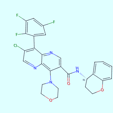 O=C(N[C@H]1CCOc2ccccc21)c1cnc2c(-c3cc(F)cc(F)c3F)c(Cl)cnc2c1N1CCOCC1